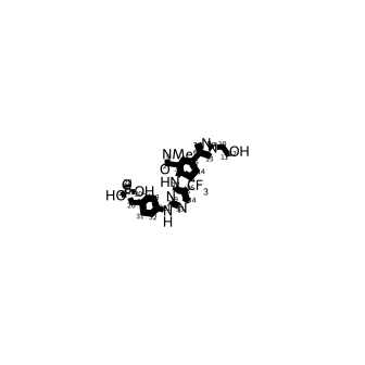 CNC(=O)c1cc(-c2cnn(CCO)c2)ccc1Nc1nc(Nc2ccc(CP(=O)(O)O)cc2)ncc1C(F)(F)F